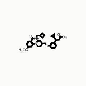 COc1ccc(C(=O)NCC2CCC2)c(N2CCC(COc3cccc(C(CC(=O)O)C4CC4)c3)CC2)c1